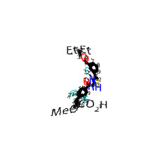 CCC(CC)COCc1cccc(-c2csc(NC(=O)c3cc(F)c(C=C(OC)C(=O)O)c(F)c3)n2)c1F